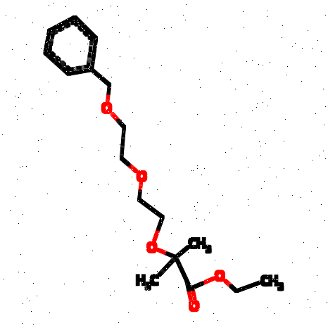 CCOC(=O)C(C)(C)OCCOCCOCc1ccccc1